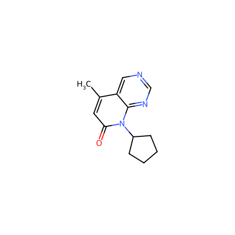 Cc1cc(=O)n(C2CCCC2)c2ncncc12